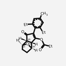 CCC(=O)OC1=C(c2c(CC)cc(C)cc2CC)C(=O)[C@@H]2[C@H]1[C@H]1CC[C@@H]2O1